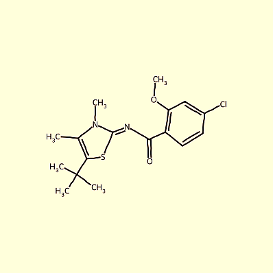 COc1cc(Cl)ccc1C(=O)/N=c1\sc(C(C)(C)C)c(C)n1C